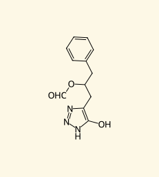 O=COC(Cc1ccccc1)Cc1nn[nH]c1O